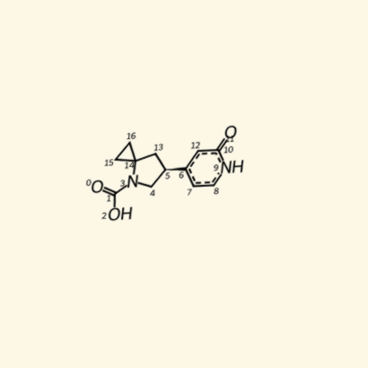 O=C(O)N1C[C@H](c2cc[nH]c(=O)c2)CC12CC2